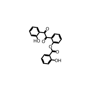 O=C(Oc1ccccc1C(=O)C(=O)c1ccccc1O)c1ccccc1O